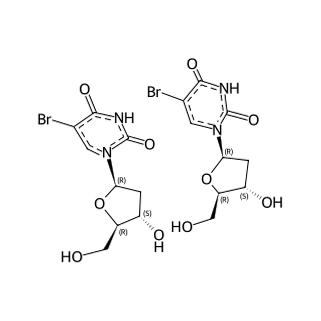 O=c1[nH]c(=O)n([C@H]2C[C@H](O)[C@@H](CO)O2)cc1Br.O=c1[nH]c(=O)n([C@H]2C[C@H](O)[C@@H](CO)O2)cc1Br